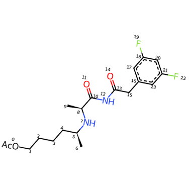 CC(=O)OCCCC[C@H](C)N[C@@H](C)C(=O)NC(=O)Cc1cc(F)cc(F)c1